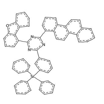 c1ccc([Si](c2ccccc2)(c2ccccc2)c2cccc(-c3nc(-c4cccc5c4ccc4c6ccccc6ccc54)nc(-c4cccc5oc6ccccc6c45)n3)c2)cc1